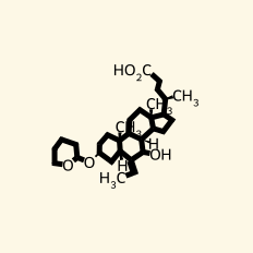 C/C=C1/C(O)[C@@H]2C3CCC([C@H](C)CCC(=O)O)[C@@]3(C)CCC2[C@@]2(C)CC[C@@H](OC3CCCCO3)C[C@@H]12